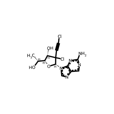 C[C@@H](O)[C@H]1O[C@@H](n2cnc3cnc(N)nc32)C(Cl)(C#CCl)[C@H]1O